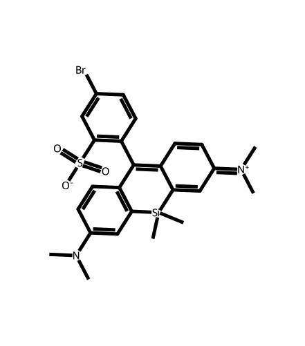 CN(C)c1ccc2c(c1)[Si](C)(C)C1=CC(=[N+](C)C)C=CC1=C2c1ccc(Br)cc1S(=O)(=O)[O-]